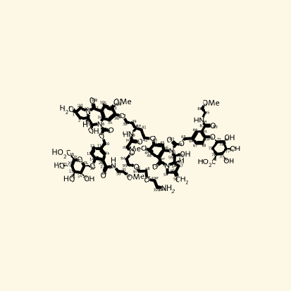 C=C1C[C@H]2C(O)N(C(=O)OCc3ccc(O[C@@H]4O[C@H](C(=O)O)[C@@H](O)[C@H](O)[C@H]4O)c(C(=O)NCCOC)c3)c3cc(OCCC(CCOc4cc5c(cc4OC)C(=O)N4CC(=C)C[C@H]4C(O)N5C(=O)OCc4ccc(O[C@@H]5C[C@H](C(=O)O)[C@@H](O)[C@H](O)[C@H]5O)c(C(=O)NCCOC)c4)NC(=O)COCCOCCOCCN)c(OC)cc3C(=O)N2C1